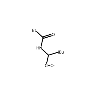 CCC(=O)NC([C]=O)C(C)CC